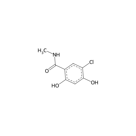 CNC(=O)c1cc(Cl)c(O)cc1O